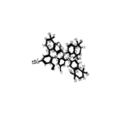 C=Cc1cc(C(C)(C)C)cc2c1N1c3cc(C)cc4c3B(c3ccc5c(c3N4c3ccc4c(c3)C(C)(C)CCC4(C)C)C(C)(C)CCC5(C)C)c3oc4c(c31)[C@]2(C)CCC4(C)C